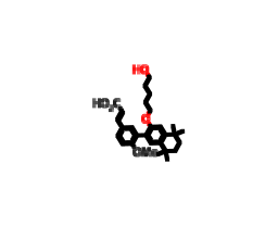 COc1ccc(C=CC(=O)O)cc1-c1cc2c(cc1OCCCCCO)C(C)(C)CCC2(C)C